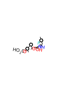 Cc1ccc(CC(C)(C)NC[C@@H](O)COC(C)c2ccccc2-c2ccc(OC(=O)O)c(C)c2)c(F)c1